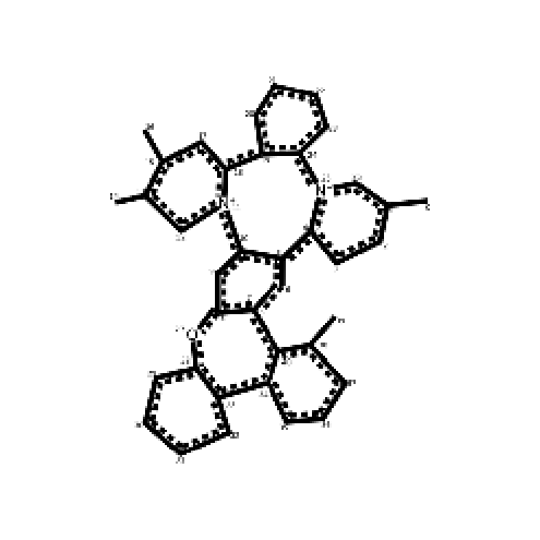 Cc1ccc2c3cc4c(cc3[n+]3cc(C)c(C)cc3c3ccccc3[n+]2c1)oc1ccccc1c1cccc(C)c41